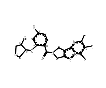 Cc1nc2c3c(nn2c(C)c1Cl)CN(C(=O)c1ccc(F)cc1OC1CNCC1O)C3